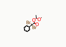 COC(C)OC(=O)C(Br)(Br)c1ccccc1